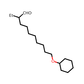 CCC([C]=O)CCCCCCCCOC1CC[CH]CC1